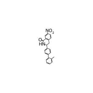 Cc1ccccc1-c1ccc(C2Cc3ccc([N+](=O)[O-])cc3C(=O)N2)cc1